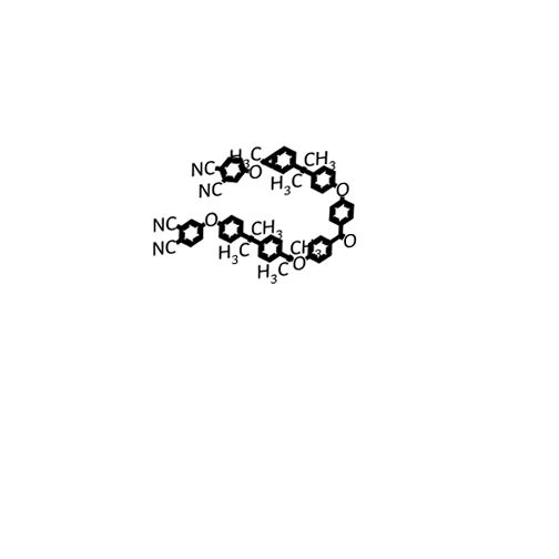 CC(C)(Oc1ccc(C(=O)c2ccc(Oc3ccc(C(C)(C)c4ccc5c(c4)C5(C)Oc4ccc(C#N)c(C#N)c4)cc3)cc2)cc1)c1ccc(C(C)(C)c2ccc(Oc3ccc(C#N)c(C#N)c3)cc2)cc1